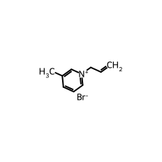 C=CC[n+]1cccc(C)c1.[Br-]